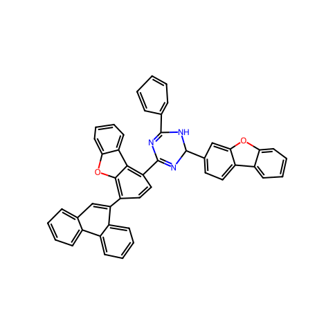 c1ccc(C2=NC(c3ccc(-c4cc5ccccc5c5ccccc45)c4oc5ccccc5c34)=NC(c3ccc4c(c3)oc3ccccc34)N2)cc1